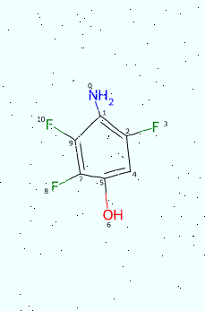 Nc1c(F)cc(O)c(F)c1F